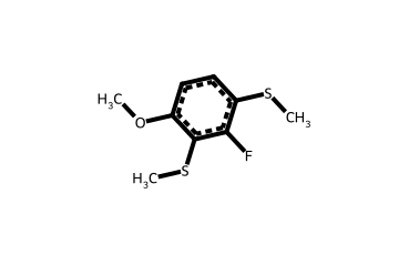 COc1ccc(SC)c(F)c1SC